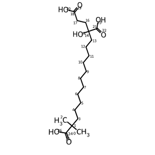 CC(C)(CCCCCCCCCCCC(O)(CCC(=O)O)C(=O)O)C(=O)O